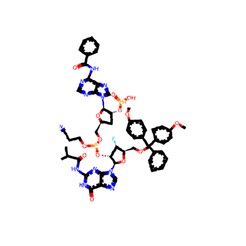 COc1ccc(C(OC[C@H]2O[C@@H](n3cnc4c(=O)[nH]c(NC(=O)C(C)C)nc43)[C@H](OP(OCCC#N)OC[C@@H]3C[C@@H](O[PH](=O)O)[C@H](n4cnc5c(NC(=O)c6ccccc6)ncnc54)O3)[C@@H]2F)(c2ccccc2)c2ccc(OC)cc2)cc1